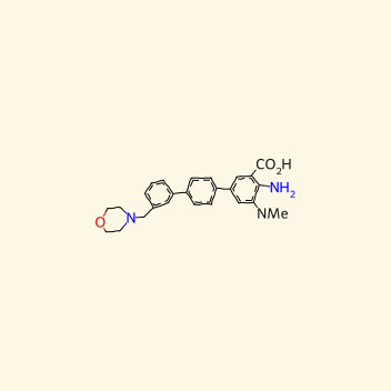 CNc1cc(-c2ccc(-c3cccc(CN4CCOCC4)c3)cc2)cc(C(=O)O)c1N